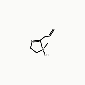 C=CCC1=NCC[N+]1(C)O